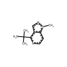 Cn1ncc2c(C(C)(C)N)nccc21